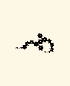 CCCCCCCCC1=CC=C(c2ccc(-c3ccc(-c4ccc5c(c4)c4cc6c(cc4n5-c4ccccc4)c4cc(-c5ccc(-c7ccc(-c8ccc(CCCCCCCC)s8)s7)s5)ccc4n6-c4ccccc4)s3)s2)C1